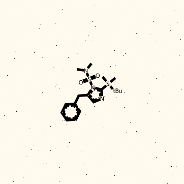 CN(C)S(=O)(=O)n1c(Cc2ccccc2)cnc1[Si](C)(C)C(C)(C)C